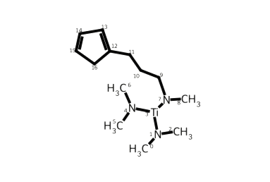 C[N](C)[Ti]([N](C)C)[N](C)CCCC1=CC=CC1